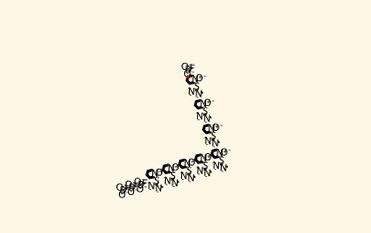 CN(C)C(Sc1cccc[n+]1[O-])=[N+](C)C.CN(C)C(Sc1cccc[n+]1[O-])=[N+](C)C.CN(C)C(Sc1cccc[n+]1[O-])=[N+](C)C.CN(C)C(Sc1cccc[n+]1[O-])=[N+](C)C.CN(C)C(Sc1cccc[n+]1[O-])=[N+](C)C.CN(C)C(Sc1cccc[n+]1[O-])=[N+](C)C.CN(C)C(Sc1cccc[n+]1[O-])=[N+](C)C.CN(C)C(Sc1cccc[n+]1[O-])=[N+](C)C.[O-]B([O-])F.[O-]B([O-])F.[O-]B([O-])F.[O-]B([O-])F